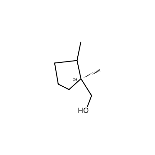 CC1CCC[C@]1(C)CO